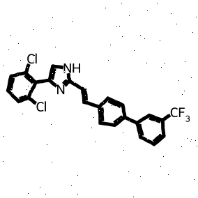 FC(F)(F)c1cccc(-c2ccc(C=Cc3nc(-c4c(Cl)cccc4Cl)c[nH]3)cc2)c1